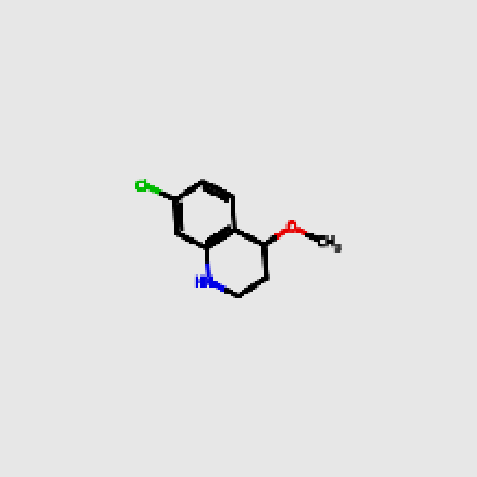 COC1CCNc2cc(Cl)ccc21